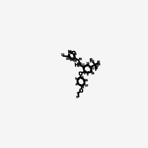 CCOc1ccc(Oc2ccc(C(F)(F)F)cc2NCc2nc(C)no2)cc1